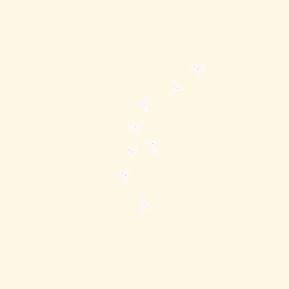 Cl.O=C1CCN1c1cc2cnc(Nc3ccc(N4CCNCC4)cn3)nc2n(C2CCCC2)c1=O